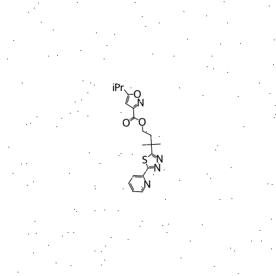 CC(C)c1cc(C(=O)OCCC(C)(C)c2nnc(-c3ccccn3)s2)no1